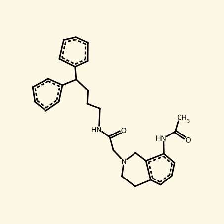 CC(=O)Nc1cccc2c1CN(CC(=O)NCCCC(c1ccccc1)c1ccccc1)CC2